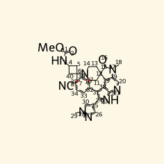 COC(=O)NC1CC(CC#N)(N2CCC3(CC2)C(=O)N(C)c2cnc4[nH]c(-c5cnn(C)c5)c(-c5ccccc5)c4c23)C1